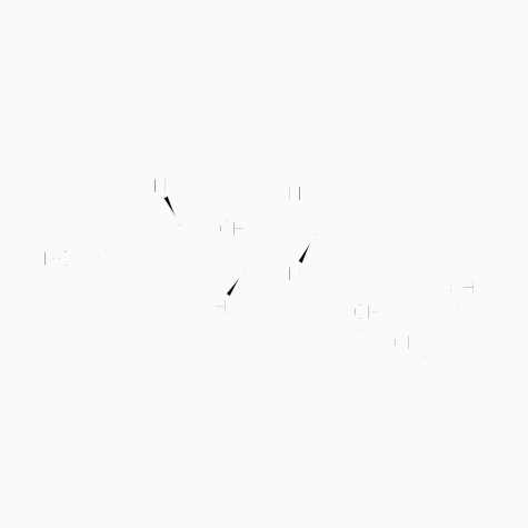 C=C(C)[C@H]1CC[C@H]2[C@@H]3CC[C@H]4C[C@@H](O)CC[C@]4(C)[C@H]3CC[C@]12C